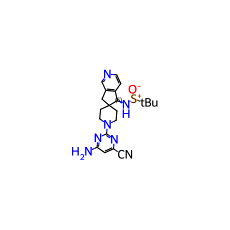 CC(C)(C)[S+]([O-])N[C@@H]1c2ccncc2CC12CCN(c1nc(N)cc(C#N)n1)CC2